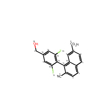 N#Cc1ccc2ccc(C(=O)O)cc2c1-c1c(F)cc(CO)cc1F